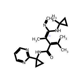 C=N/C(NC1(C)CC1)=C(\C)C(C(=O)NC1(c2ncccn2)CC1)=C(C)C